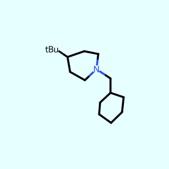 CC(C)(C)C1CCN(CC2CCCCC2)CC1